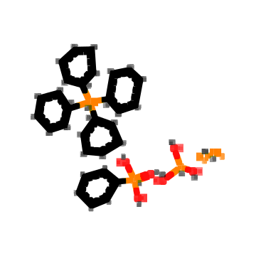 O=P(O)(O)c1ccccc1.OP(O)O.P.P.c1ccc([PH](c2ccccc2)(c2ccccc2)c2ccccc2)cc1